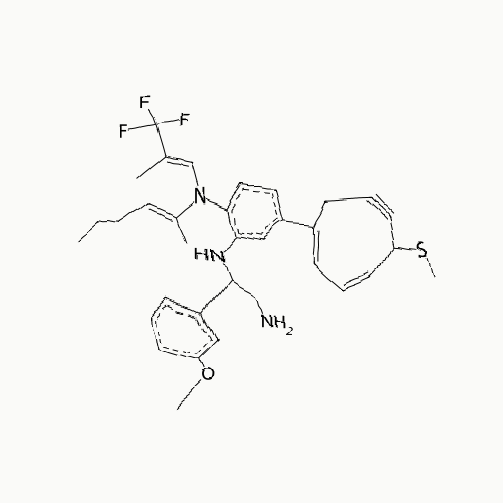 CCC/C=C(\C)N(/C=C(\C)C(F)(F)F)c1ccc(/C2=C/C=C\C(SC)C#CC2)cc1NC(CN)c1cccc(OC)c1